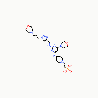 O=P(O)(O)CCN1CCC(Nc2cc(N3CCOCC3)nc(NCc3cn(CCCN4CCOCC4)nn3)n2)CC1